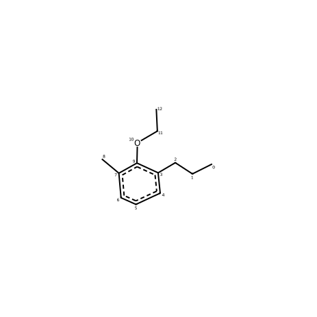 CCCc1cccc(C)c1OCC